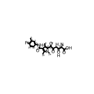 Cc1cc(NC(=O)c2c(C)c(C(=O)C(=O)C[C@H](O)[C@@H](N)C(=O)O)n(C)c2C)ccc1F